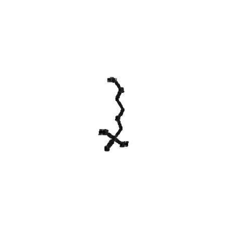 CCCCOCCOCP(=O)(O)O